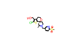 C[C@H]1C[C@@]2(CCN1Cc1ccc(S(C)(=O)=O)nc1)OCCc1c2sc(Cl)c1CO